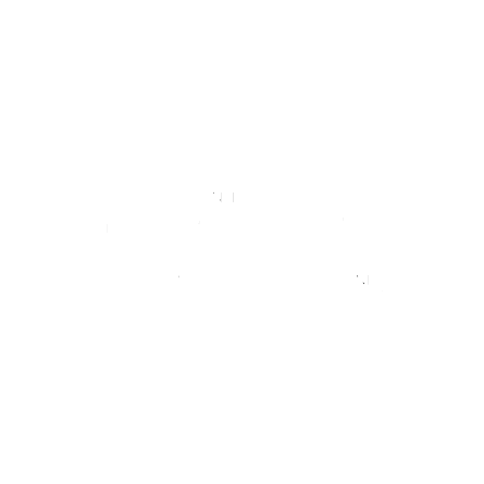 CCC(=O)[C@H](N)CCCC(N)=O